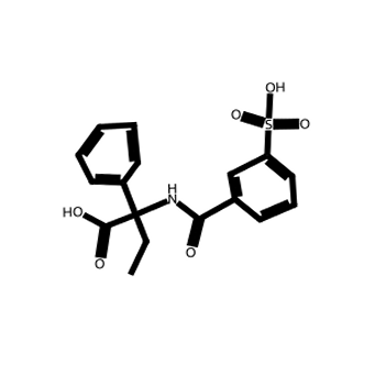 CCC(NC(=O)c1cccc(S(=O)(=O)O)c1)(C(=O)O)c1ccccc1